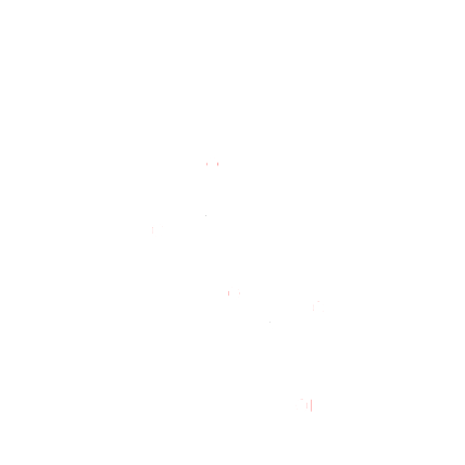 C=CCOC(=O)COC(=O)CO